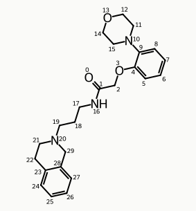 O=C(COc1ccccc1N1CCOCC1)NCCCN1CCc2ccccc2C1